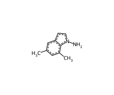 Cc1cc(C)c2c(ccn2N)c1